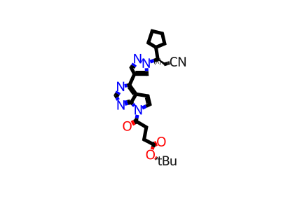 CC(C)(C)OC(=O)CCC(=O)n1ccc2c(-c3cnn([C@H](CC#N)C4CCCC4)c3)ncnc21